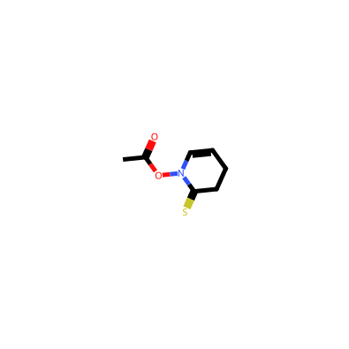 CC(=O)ON1C=CCCC1=S